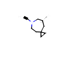 C#CN1CCC2(CC2)C[C@H](C(C)C)C1